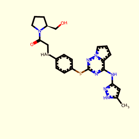 Cc1cc(Nc2nc(Sc3ccc([AsH]CC(=O)N4CCC[C@H]4CO)cc3)nn3cccc23)n[nH]1